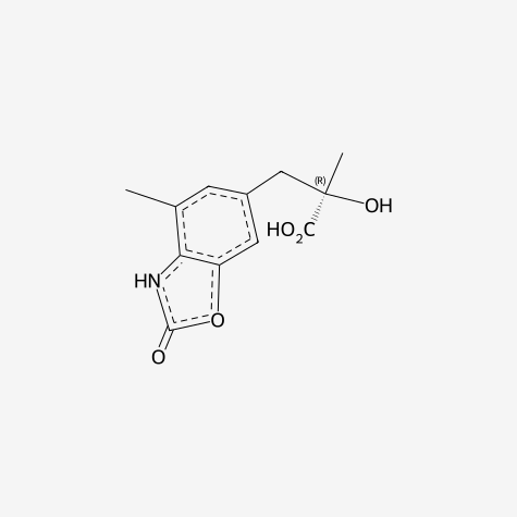 Cc1cc(C[C@@](C)(O)C(=O)O)cc2oc(=O)[nH]c12